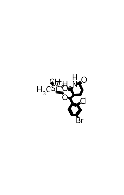 C[Si](C)(C)CCOC(c1ccc(Br)cc1Cl)C1CCC(=O)NC1=O